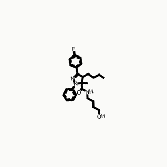 CCCCC1C(c2ccc(F)cc2)=NN(c2ccccc2)C1(C)C(=O)NCCCCO